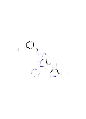 Cc1cccc(/C=N/n2cnc3c(Nc4cncc(C)c4)nc(N4CCOCC4)nc32)c1